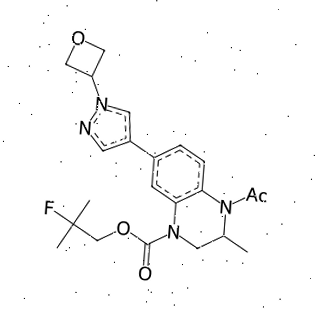 CC(=O)N1c2ccc(-c3cnn(C4COC4)c3)cc2N(C(=O)OCC(C)(C)F)CC1C